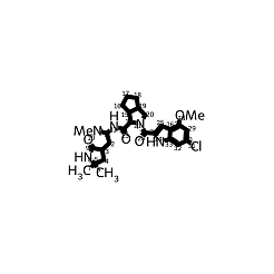 CNC(CC1CC(C)(C)NC1=O)NC(=O)C1C2CCCC2CN1C(=O)c1cc2c(OC)cc(Cl)cc2[nH]1